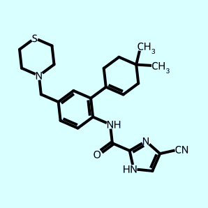 CC1(C)CC=C(c2cc(CN3CCSCC3)ccc2NC(=O)c2nc(C#N)c[nH]2)CC1